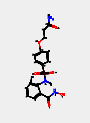 Cc1cccc(C(=O)NO)c1N(C)S(=O)(=O)c1ccc(OCCC(N)=O)cc1